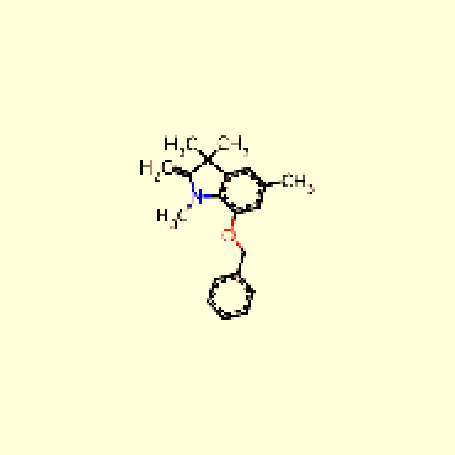 C=C1N(C)c2c(OCc3ccccc3)cc(C)cc2C1(C)C